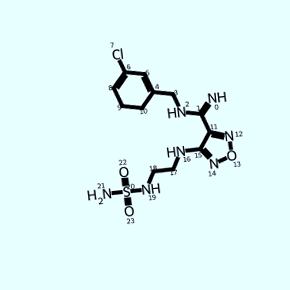 N=C(NCC1=CC(Cl)=CCC1)c1nonc1NCCNS(N)(=O)=O